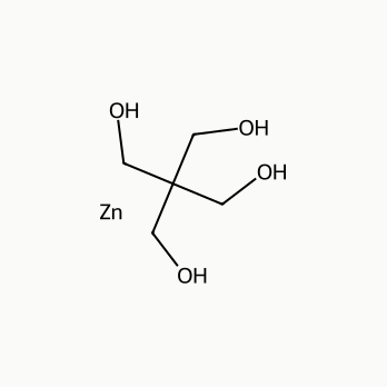 OCC(CO)(CO)CO.[Zn]